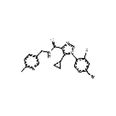 Cc1ccc(CNC(=O)c2nnn(-c3ccc(Br)cc3F)c2C2CC2)cn1